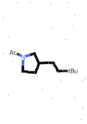 CC(=O)N1CCC(CCC(C)(C)C)C1